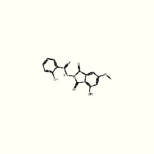 COc1cc(O)c2c(c1)C(=O)N(NC(=O)c1ccccc1O)C2=O